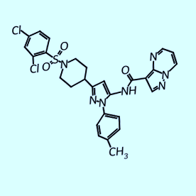 Cc1ccc(-n2nc(C3CCN(S(=O)(=O)c4ccc(Cl)cc4Cl)CC3)cc2NC(=O)c2cnn3cccnc23)cc1